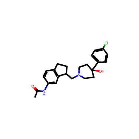 CC(=O)Nc1ccc2c(c1)C(CN1CCC(O)(c3ccc(Cl)cc3)CC1)CC2